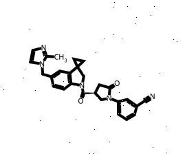 Cc1nccn1Cc1ccc2c(c1)C1(CC1)CN2C(=O)[C@H]1CC(=O)N(c2cccc(C#N)c2)C1